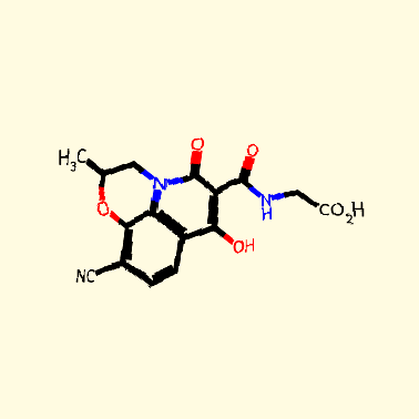 CC1Cn2c(=O)c(C(=O)NCC(=O)O)c(O)c3ccc(C#N)c(c32)O1